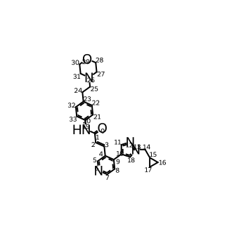 O=C(/C=C/c1cnccc1-c1cnn(CC2CC2)c1)Nc1ccc(CCN2CCOCC2)cc1